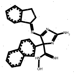 N=C(NO)C1(c2ccc3ccccc3c2)N=C(N)N=C1N=C1CCc2ccccc21